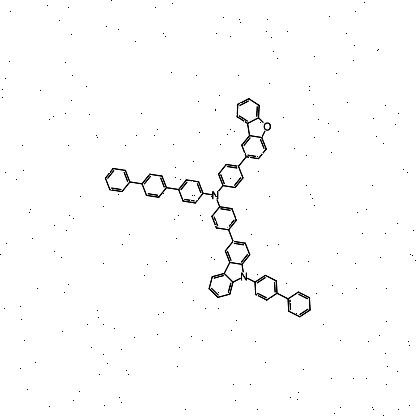 c1ccc(-c2ccc(-c3ccc(N(c4ccc(-c5ccc6oc7ccccc7c6c5)cc4)c4ccc(-c5ccc6c(c5)c5ccccc5n6-c5ccc(-c6ccccc6)cc5)cc4)cc3)cc2)cc1